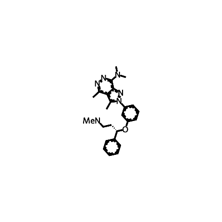 CNCC[C@H](Oc1cccc(-n2nc3c(N(C)C)nnc(C)c3c2C)c1)c1ccccc1